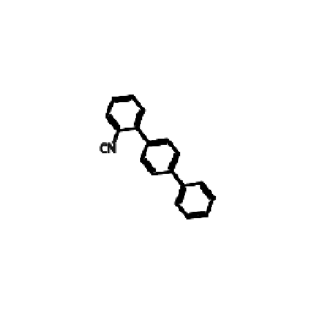 [C-]#[N+]c1ccccc1-c1ccc(-c2ccccc2)cc1